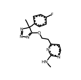 CNc1nccc(CCOC2=NN=NC2(C)c2ccc(F)cc2)n1